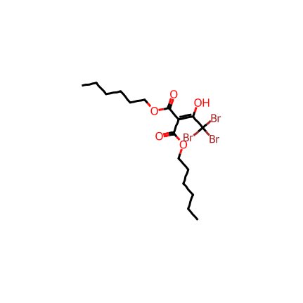 CCCCCCOC(=O)C(C(=O)OCCCCCC)=C(O)C(Br)(Br)Br